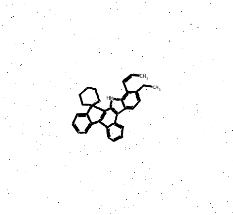 C/C=C\c1c(CC)ccc2c1[nH]c1c3c(c4ccccc4c12)-c1ccccc1C31CCCCC1